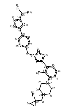 Fc1c(-c2cn(Cc3ccc(-c4nnc(C(F)F)o4)cn3)nn2)cccc1N1CCN(CC2(F)CC2)CC1